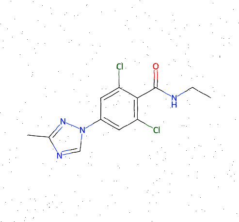 CCNC(=O)c1c(Cl)cc(-n2cnc(C)n2)cc1Cl